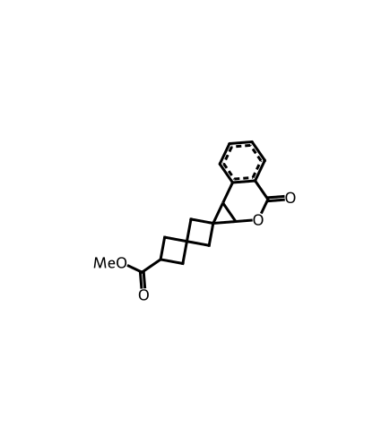 COC(=O)C1CC2(C1)CC1(C2)C2OC(=O)c3ccccc3C21